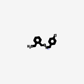 C=Cc1ccccc1CO/N=[C]\c1ccc(Cl)cc1